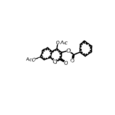 CC(=O)Oc1ccc2c(OC(C)=O)c(OC(=O)c3ccccc3)c(=O)oc2c1